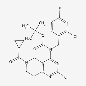 CC(C)(C)OC(=O)N(Cc1ccc(F)cc1Cl)c1nc(Cl)nc2c1CN(C(=O)C1CC1)CC2